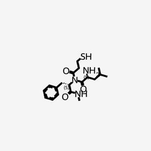 CNC(=O)[C@H](Cc1ccccc1)N(C(=O)CCS)C(=O)[C@@H](N)CC(C)C